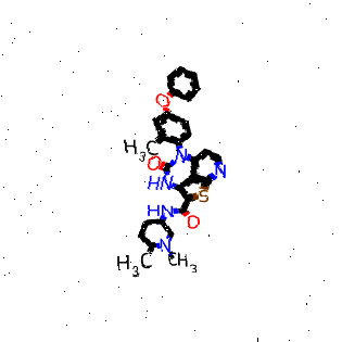 Cc1cc(Oc2ccccc2)ccc1N1C(=O)Nc2c(C(=O)NC3CCC(C)N(C)C3)sc3nccc1c23